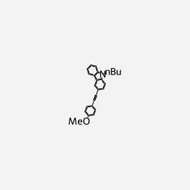 CCCCn1c2ccccc2c2cc(C#Cc3ccc(OC)cc3)ccc21